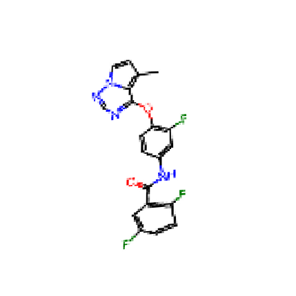 Cc1ccn2ncnc(Oc3ccc(NC(=O)c4cc(F)ccc4F)cc3F)c12